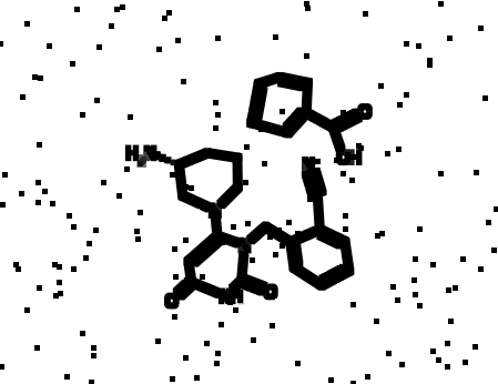 N#Cc1ccccc1Cn1c(N2CCC[C@@H](N)C2)cc(=O)[nH]c1=O.O=C(O)c1ccccc1